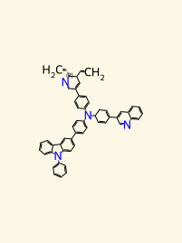 C=CC1C=C(c2ccc(N(c3ccc(-c4ccc5c(c4)c4ccccc4n5-c4ccccc4)cc3)C3C=CC(c4cnc5ccccc5c4)=CC3)cc2)C=N[C@@H]1C=C